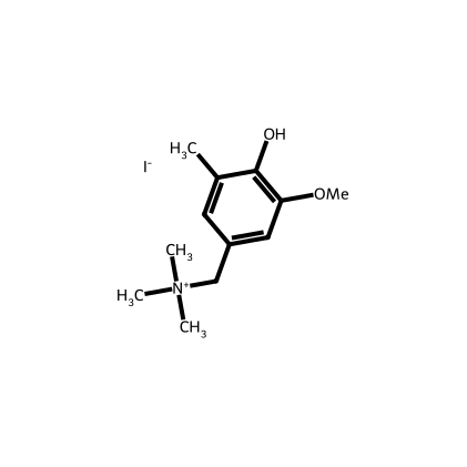 COc1cc(C[N+](C)(C)C)cc(C)c1O.[I-]